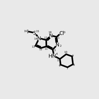 Clc1nc(NC2CCCCC2)c2ccn(SI)c2n1